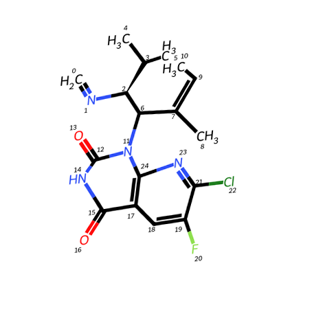 C=N[C@@H](C(C)C)C(/C(C)=C\C)n1c(=O)[nH]c(=O)c2cc(F)c(Cl)nc21